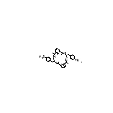 C/C1=N\C[C@H](Cc2ccc(N)cc2)/N=C(\C)c2cccc(n2)/C(C)=N/CC(Cc2ccc(N)cc2)/N=C(\C)c2cccc1n2